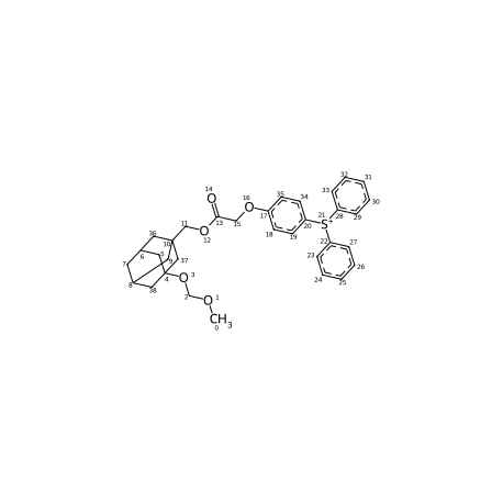 COCOC12CC3CC(CC(COC(=O)COc4ccc([S+](c5ccccc5)c5ccccc5)cc4)(C3)C1)C2